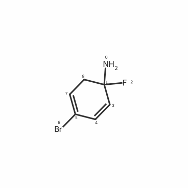 NC1(F)C=CC(Br)=CC1